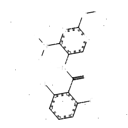 CCOc1ncc(NC(=O)c2c(F)cccc2Cl)c(N(C)C)n1